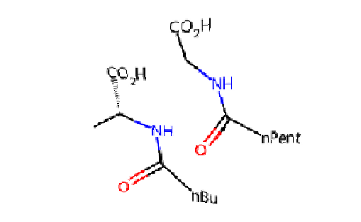 CCCCC(=O)N[C@H](C)C(=O)O.CCCCCC(=O)NCC(=O)O